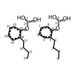 CCCCc1ccccc1OP(O)O.CCCCc1ccccc1OP(O)O